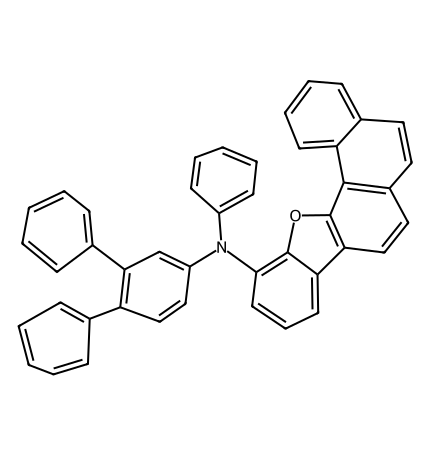 c1ccc(-c2ccc(N(c3ccccc3)c3cccc4c3oc3c4ccc4ccc5ccccc5c43)cc2-c2ccccc2)cc1